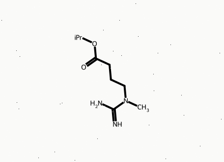 CC(C)OC(=O)CCCN(C)C(=N)N